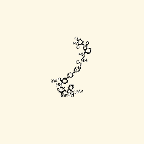 COc1cc(N2CCC(N3CCN(CC(=O)NCCNc4cccc5c4CN(C4CCC(=O)NC4=O)C5=O)CC3)CC2)ccc1Nc1ncc(Cl)c(Nc2ccccc2P(=O)(OC)OC)n1